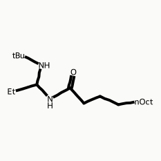 CCCCCCCCCCCC(=O)NC(CC)NC(C)(C)C